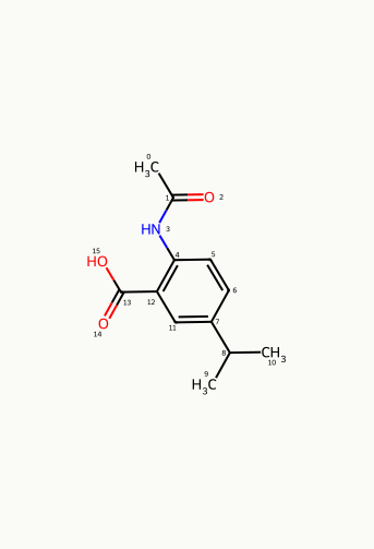 CC(=O)Nc1ccc(C(C)C)cc1C(=O)O